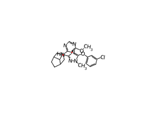 COc1cc(N2CC3CCC(C2)C3Nc2nc(Oc3cccc(Cl)c3)n(C)n2)ncn1